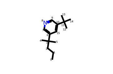 CCCC(C)(C)c1cncc(C(C)(C)C)c1